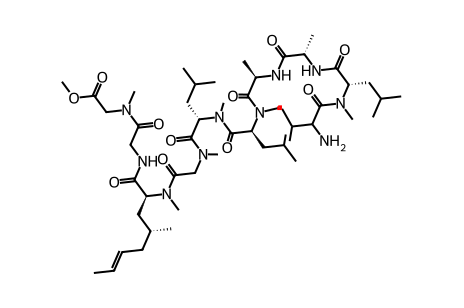 C/C=C/C[C@@H](C)C[C@@H](C(=O)NCC(=O)N(C)CC(=O)OC)N(C)C(=O)CN(C)C(=O)[C@H](CC(C)C)N(C)C(=O)[C@H](CC(C)C)N(C)C(=O)[C@@H](C)NC(=O)[C@H](C)NC(=O)[C@H](CC(C)C)N(C)C(=O)C(N)C(C)C